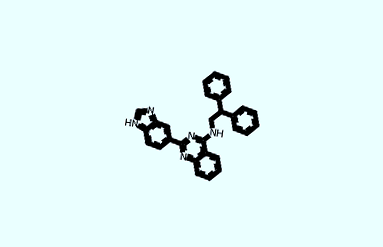 c1ccc(C(CNc2nc(-c3ccc4[nH]cnc4c3)nc3ccccc23)c2ccccc2)cc1